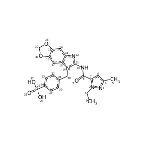 CCn1nc(C)cc1C(=O)Nc1nc2cc3c(cc2n1Cc1ccc(P(=O)(O)O)cc1)OCO3